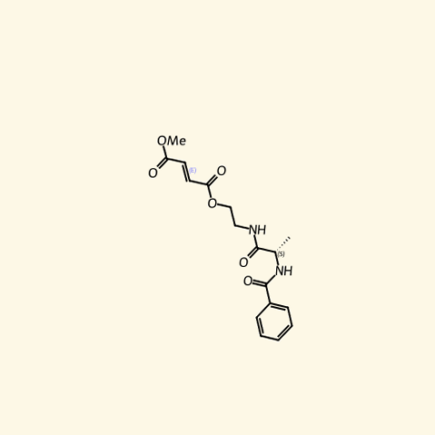 COC(=O)/C=C/C(=O)OCCNC(=O)[C@H](C)NC(=O)c1ccccc1